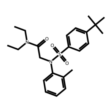 CCN(CC)C(=O)CN(c1ccccc1C)S(=O)(=O)c1ccc(C(C)(C)C)cc1